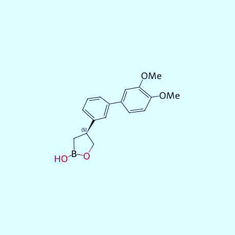 COc1ccc(-c2cccc([C@H]3COB(O)C3)c2)cc1OC